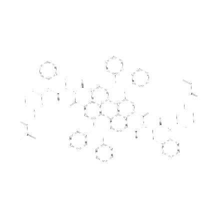 C=C(C)C(=O)OC1CCCC(NC(=O)C(Cc2ccccc2)N2C(=O)c3cc(Oc4ccccc4)c4c5c(Oc6ccccc6)cc6c7c(cc(Oc8ccccc8)c(c8c(Oc9ccccc9)cc(c3c48)C2=O)c75)C(=O)N(C(Cc2ccccc2)C(=O)NC2CCCC(OC(=O)C(=C)C)C2)C6=O)C1